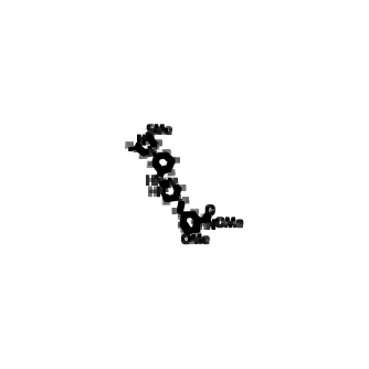 CONC(=O)C1=CC(OC)=C[C@@H](CC[C@H]2CN=C(NC3=CCC[C@@H](N(CCSC)C[C@@H](C)N)C3)NC2)C1